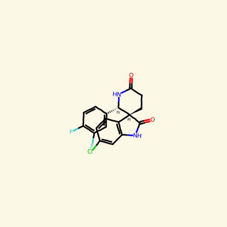 O=C1CC[C@]2(C(=O)Nc3cc(Cl)ccc32)[C@H](c2ccc(F)c(F)c2)N1